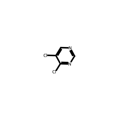 Clc1cn[c]nc1Cl